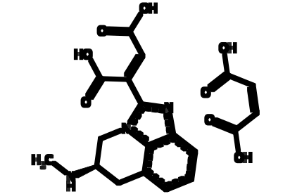 CN[C@@H]1Cc2cccc3nc(C(=CC(=O)O)C(=O)O)n(c23)C1.O=C(O)/C=C\C(=O)O